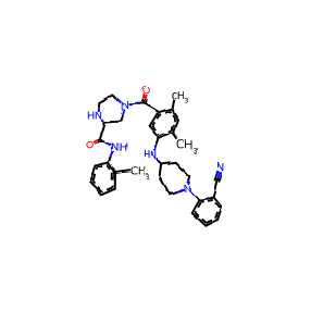 Cc1ccccc1NC(=O)C1CN(C(=O)c2cc(NC3CCN(c4ccccc4C#N)CC3)c(C)cc2C)CCN1